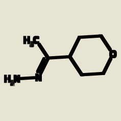 CC(=NN)C1CCOCC1